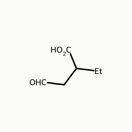 CCC(CC=O)C(=O)O